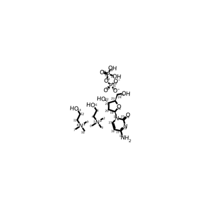 C[N+](C)(C)CCO.C[N+](C)(C)CCO.Nc1ccn([C@H]2C[C@H](O)[C@@H](CO)O2)c(=O)n1.O=P([O-])([O-])OP(=O)(O)O